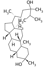 CC(C)C(C)(O)CC[C@@H](C)C1CC[C@H]2[C@@H]3CC[C@H]4C[C@@](C)(O)CC[C@]4(C)[C@H]3CC[C@]12C